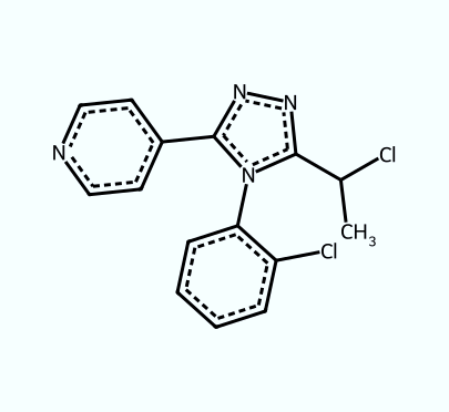 CC(Cl)c1nnc(-c2ccncc2)n1-c1ccccc1Cl